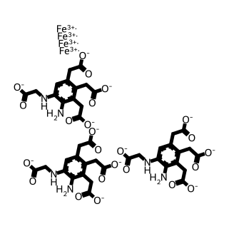 Nc1c(NCC(=O)[O-])cc(CC(=O)[O-])c(CC(=O)[O-])c1CC(=O)[O-].Nc1c(NCC(=O)[O-])cc(CC(=O)[O-])c(CC(=O)[O-])c1CC(=O)[O-].Nc1c(NCC(=O)[O-])cc(CC(=O)[O-])c(CC(=O)[O-])c1CC(=O)[O-].[Fe+3].[Fe+3].[Fe+3].[Fe+3]